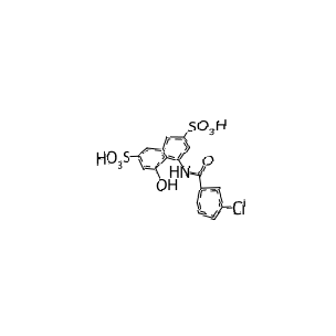 O=C(Nc1cc(S(=O)(=O)O)cc2cc(S(=O)(=O)O)cc(O)c12)c1cccc(Cl)c1